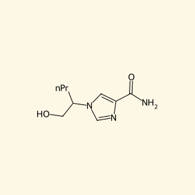 CCCC(CO)n1cnc(C(N)=O)c1